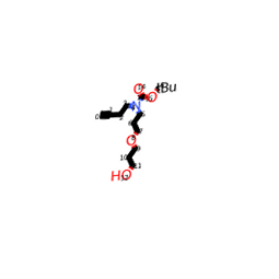 C#CCCN(CCCOCCCO)C(=O)OC(C)(C)C